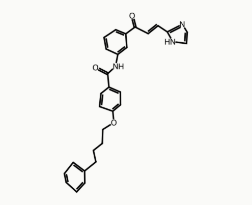 O=C(C=Cc1ncc[nH]1)c1cccc(NC(=O)c2ccc(OCCCCc3ccccc3)cc2)c1